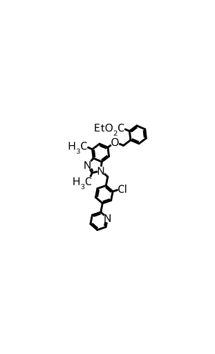 CCOC(=O)c1ccccc1COc1cc(C)c2nc(C)n(Cc3ccc(-c4ccccn4)cc3Cl)c2c1